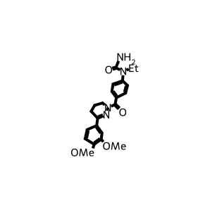 CCN(C(N)=O)c1ccc(C(=O)N2CCCC(c3ccc(OC)c(OC)c3)=N2)cc1